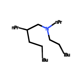 CCCC(CCC(C)CC)CN(CCC)CCC(C)CC